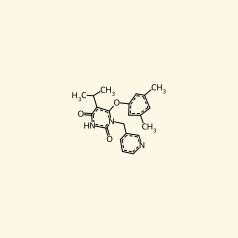 Cc1cc(C)cc(Oc2c(C(C)C)c(=O)[nH]c(=O)n2Cc2cccnc2)c1